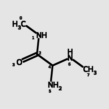 CNC(=O)C(N)NC